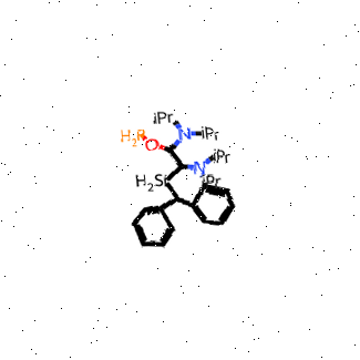 CC(C)N(C(C)C)C(OP)C([SiH2]C(c1ccccc1)c1ccccc1)N(C(C)C)C(C)C